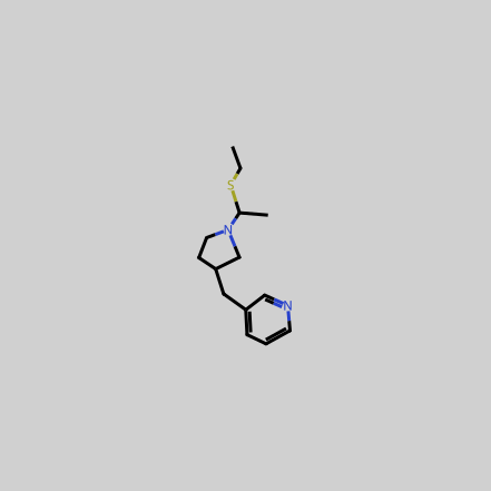 CCSC(C)N1CCC(Cc2cccnc2)C1